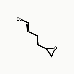 CC/C=C/CCC1CO1